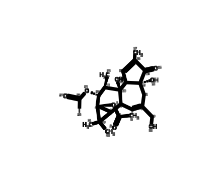 CC(=O)O[C@]12C(C3C=C(CO)C[C@]4(O)C(=O)C(C)=CC4[C@@]3(O)[C@H](C)[C@H]1OC(=O)I)C2(C)C